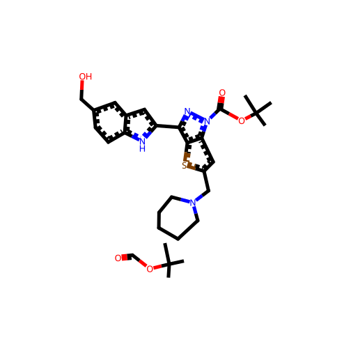 CC(C)(C)OC(=O)n1nc(-c2cc3cc(CO)ccc3[nH]2)c2sc(CN3CCCCC3)cc21.CC(C)(C)OC=O